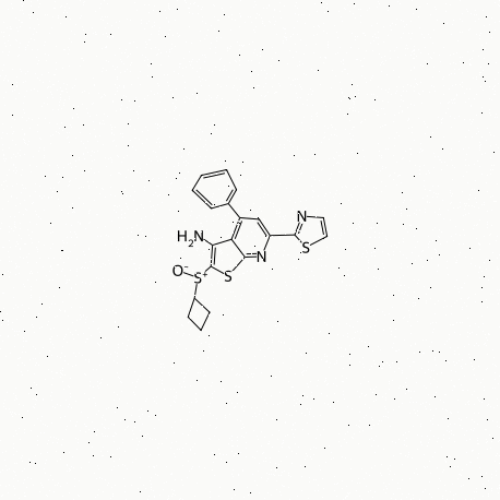 Nc1c([S+]([O-])C2CCC2)sc2nc(-c3nccs3)cc(-c3ccccc3)c12